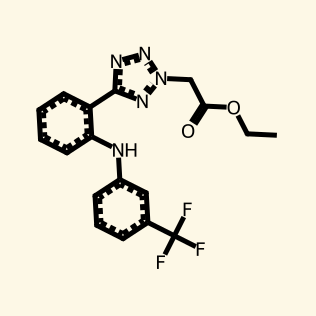 CCOC(=O)Cn1nnc(-c2ccccc2Nc2cccc(C(F)(F)F)c2)n1